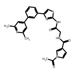 CC(=O)n1ccc(C(=O)NCC(=O)Nc2nc(-c3cccc(-c4cc(C)nc(C)c4)c3)cs2)c1